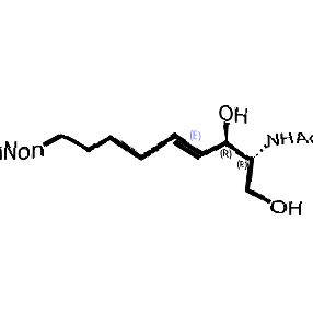 CCCCCCCCCCCCC/C=C/[C@@H](O)[C@@H](CO)NC(C)=O